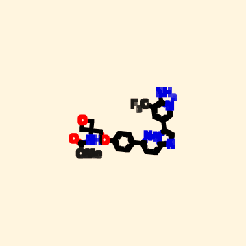 COC(=O)NC1(COc2ccc(-c3ccc4ncc(-c5cnc(N)c(C(F)(F)F)c5)n4n3)cc2)COC1